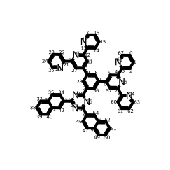 c1ccc(-c2cc(-c3cc(-c4cc(-c5ccccn5)nc(-c5ccccn5)c4)cc(-c4nc(-c5ccc6ccccc6c5)nc(-c5ccc6ccccc6c5)n4)c3)cc(-c3ccccn3)n2)nc1